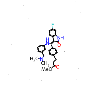 COC(=O)CCc1ccc(C(Nc2cccc(CN(C)C)c2)=C2C(=O)Nc3cc(F)ccc32)cc1